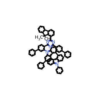 CC1(C)c2ccccc2-c2cccc(-c3nc(-c4ccc(-c5ccccc5)cc4)nc(-c4ccc(-c5ccccc5)cc4-n4c5cc(-c6ccccc6)ccc5c5c(-c6cccc7c6c6ccccc6n7-c6ccccc6)cccc54)n3)c21